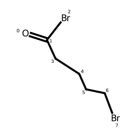 O=C(Br)CCCCBr